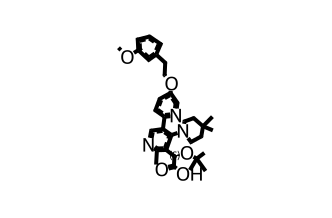 COc1cccc(CCOc2ccc(-c3cnc(C)c([C@H](OC(C)(C)C)C(=O)O)c3N3CCC(C)(C)CC3)nc2)c1